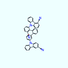 N#Cc1ccc2c(c1)c1ccccc1n2-c1cccc(-c2ccccc2-c2c(C#N)cccc2-n2c3ccccc3c3c(C#N)cccc32)c1